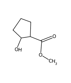 COC(=O)C1CCCC1O